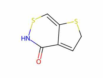 O=C1NSC=C2SCC=C12